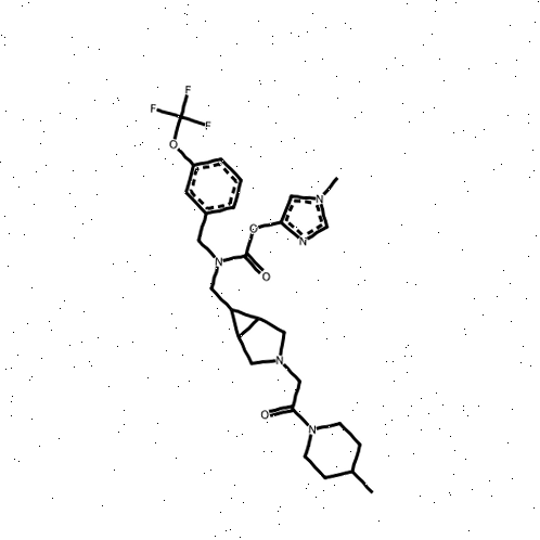 CC1CCN(C(=O)CN2CC3C(C2)C3CN(Cc2cccc(OC(F)(F)F)c2)C(=O)Oc2cn(C)cn2)CC1